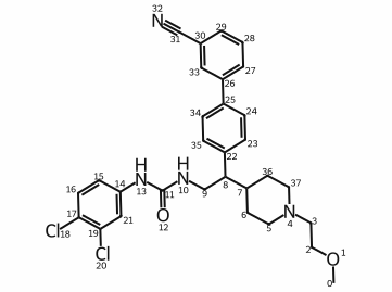 COCCN1CCC(C(CNC(=O)Nc2ccc(Cl)c(Cl)c2)c2ccc(-c3cccc(C#N)c3)cc2)CC1